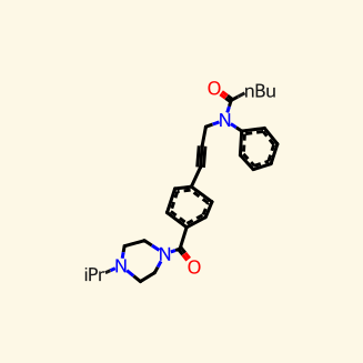 CCCCC(=O)N(CC#Cc1ccc(C(=O)N2CCN(C(C)C)CC2)cc1)c1ccccc1